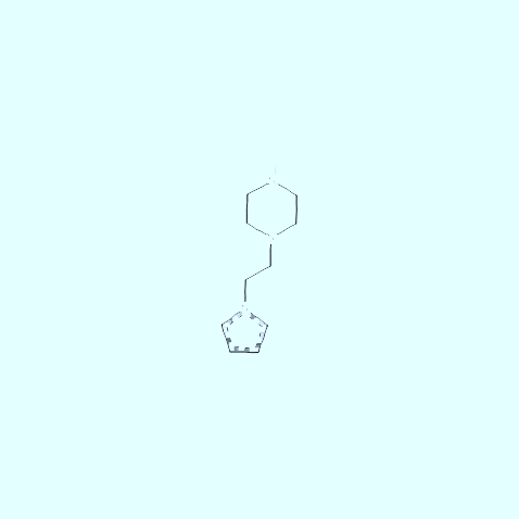 c1ccn(CCN2CCNCC2)c1